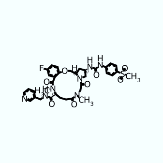 CN1CC(=O)N2C[C@@H](NC(=O)Nc3ccc(S(C)(=O)=O)cc3)C[C@H]2COc2ccc(F)cc2C(=O)N(C)[C@H](C(=O)NCc2cccnc2)CCC1=O